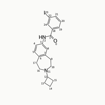 O=C(Nc1ccc2c(c1)CCN(C1CCC1)CC2)c1cccc(I)c1